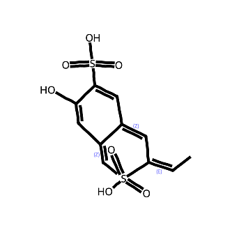 C/C=c1/cc(O)c(S(=O)(=O)O)c/c1=C/C(=C\C)S(=O)(=O)O